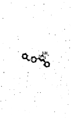 Nc1nc(-c2ccccc2)cc(C2CCN(Cc3ccccc3)CC2)n1